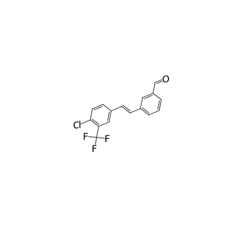 O=Cc1cccc(/C=C/c2ccc(Cl)c(C(F)(F)F)c2)c1